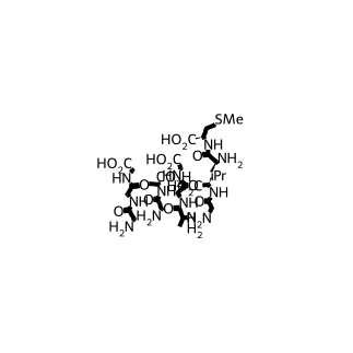 CC(C)[C@H](NC(=O)CN)C(=O)O.CC(N)C(=O)NCC(=O)NCC(=O)O.CSCC[C@H](NC(=O)[C@H](C)N)C(=O)O.C[C@H](NC(=O)CN)C(=O)O.NCC(=O)NCC(=O)NCC(=O)O